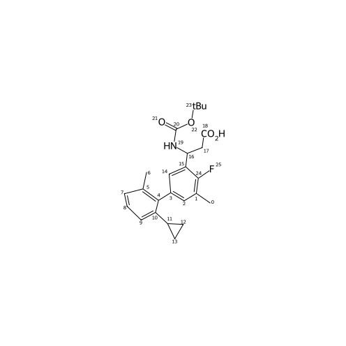 Cc1cc(-c2c(C)cccc2C2CC2)cc(C(CC(=O)O)NC(=O)OC(C)(C)C)c1F